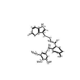 COc1cc(Nc2cc(F)ccc2C(=O)NCCc2c[nH]c3ccc(F)cc23)cc(OC)c1OC